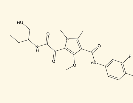 CCC(CO)NC(=O)C(=O)c1c(OC)c(C(=O)Nc2ccc(F)c(F)c2)c(C)n1C